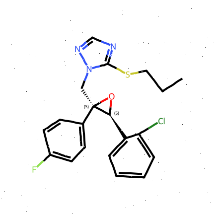 CCCSc1ncnn1C[C@]1(c2ccc(F)cc2)O[C@H]1c1ccccc1Cl